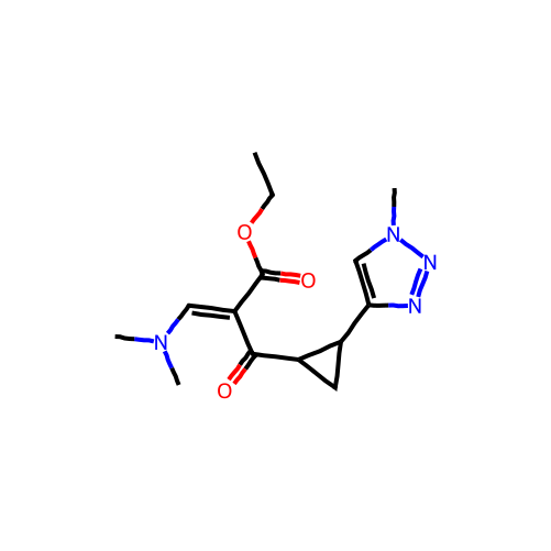 CCOC(=O)/C(=C/N(C)C)C(=O)C1CC1c1cn(C)nn1